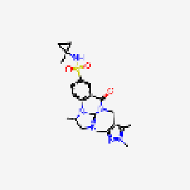 Cc1nn(C)c(C)c1CN1C(=O)c2cc(S(=O)(=O)NC3(C)CC3)ccc2N2C1=NC[C@H]2C